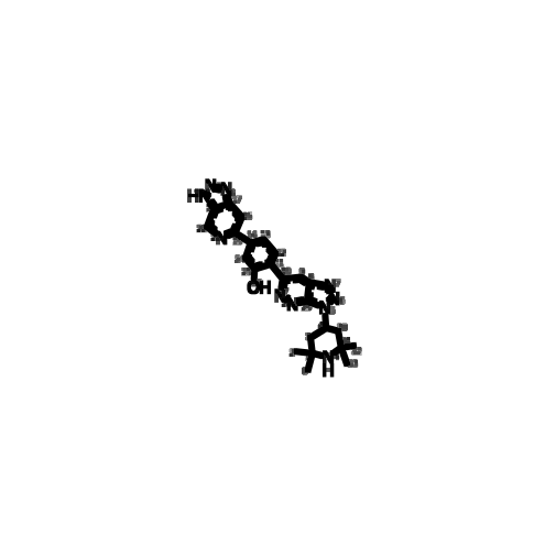 CC1(C)CC(n2nnc3cc(-c4ccc(-c5cc6nn[nH]c6cn5)cc4O)nnc32)CC(C)(C)N1